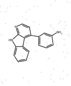 Nc1cccc(-c2ccnc3[nH]c4ccccc4c23)c1